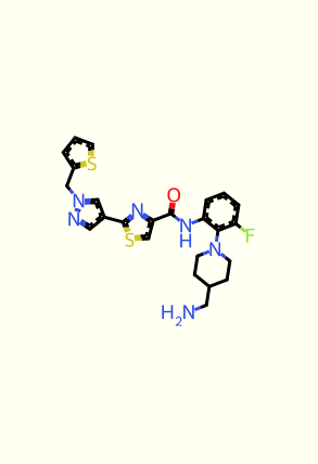 NCC1CCN(c2c(F)cccc2NC(=O)c2csc(-c3cnn(Cc4cccs4)c3)n2)CC1